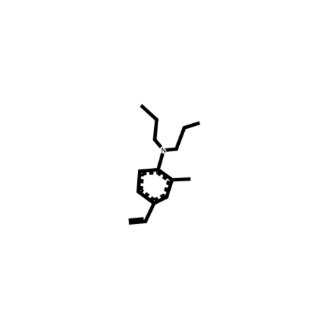 C=Cc1ccc(N(CCC)CCC)c(C)c1